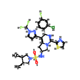 C[C@@H]1CN(S(=O)(=O)N[C@H]2CC3=C(c4ccn(C(F)F)n4)[C@H](c4ccc(F)cc4Cl)N=C(c4nccs4)N3C2)C[C@@H]1C